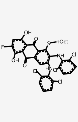 CCCCCCCCSc1c(Nc2c(Cl)cccc2Cl)c(Nc2c(Cl)cccc2Cl)cc2c1C(=O)c1c(O)cc(F)c(O)c1C2=O